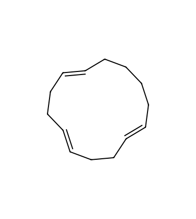 C1=C/CC/C=C/CCCC/C=C/CC/1